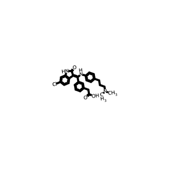 CN(C)CCCc1ccc(N/C(=C2\C(=O)Nc3cc(Cl)ccc32)c2cccc(CC(=O)O)c2)cc1